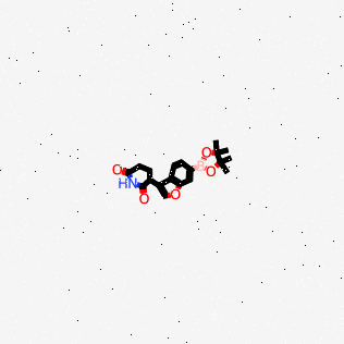 CC1(C)OB(c2ccc3c(C4CCC(=O)NC4=O)coc3c2)OC1(C)C